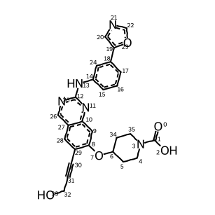 O=C(O)N1CCC(Oc2cc3nc(Nc4cccc(-c5cnco5)c4)ncc3cc2C#CCO)CC1